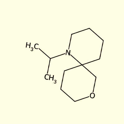 CC(C)N1CCCCC12CCCOC2